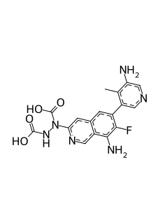 Cc1c(N)cncc1-c1cc2cc(N(NC(=O)O)C(=O)O)ncc2c(N)c1F